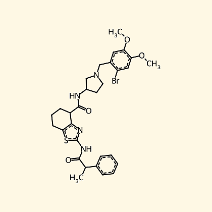 COc1cc(Br)c(CN2CCC(NC(=O)C3CCCc4sc(NC(=O)C(C)c5ccccc5)nc43)C2)cc1OC